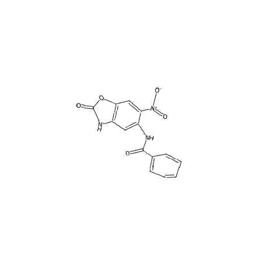 O=C(Nc1cc2[nH]c(=O)oc2cc1[N+](=O)[O-])c1ccccc1